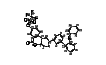 O=c1oc2ccc(-c3ccc4c(c3)c3ccccc3n4-c3ccccc3)cc2c2ccc(OS(=O)(=O)C(F)(F)F)cc12